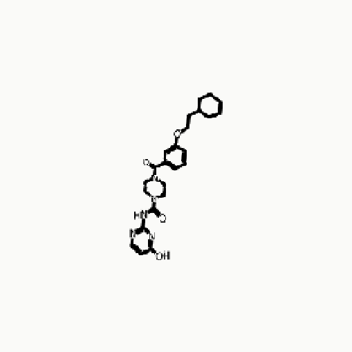 O=C(Nc1nccc(O)n1)N1CCN(C(=O)c2cccc(OCCC3CCCCC3)c2)CC1